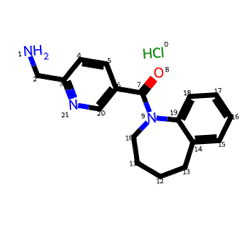 Cl.NCc1ccc(C(=O)N2CCCCc3ccccc32)cn1